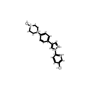 [O-][S+]1CCN(c2ccc(-c3cnn(-c4ccc(Cl)cn4)c3)cc2)CC1